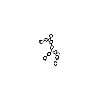 c1ccc(-c2ccc(N(c3ccc(-c4ccc5c(c4)c4cc(-c6ccccc6)ccc4n5-c4ccccc4)cc3)c3ccc4oc5ccc(-c6ccccc6)cc5c4c3)cc2)cc1